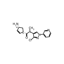 CN(C(=O)[C@@H]1C=C[C@H](N)C1)c1cn(-c2cccnc2)nc1Cl